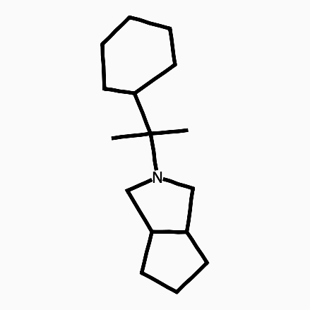 CC(C)(C1CCCCC1)N1CC2CCCC2C1